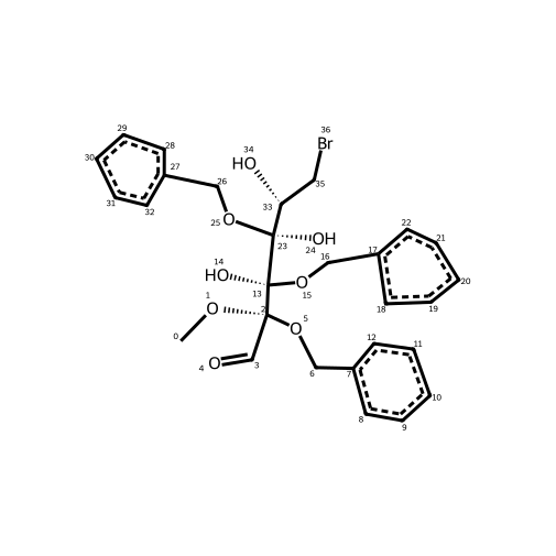 CO[C@@](C=O)(OCc1ccccc1)[C@](O)(OCc1ccccc1)[C@@](O)(OCc1ccccc1)[C@H](O)CBr